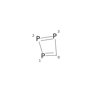 C1=PP=P1